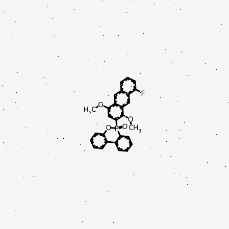 COc1cc(P2(=O)Oc3ccccc3-c3ccccc32)c(OC)c2cc3c(F)cccc3cc12